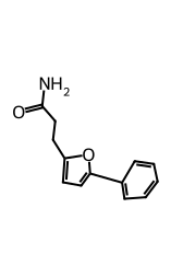 NC(=O)CCc1ccc(-c2ccccc2)o1